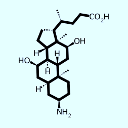 C[C@H](CCC(=O)O)[C@H]1CC[C@H]2[C@@H]3[C@H](O)C[C@@H]4C[C@H](N)CC[C@]4(C)[C@H]3C[C@H](O)[C@]12C